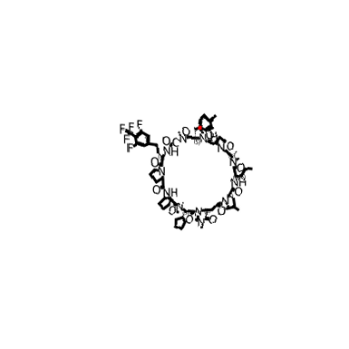 CC[C@H](C)[C@@H]1NC(=O)[C@H](CC(C)C)N(C)C(=O)C[C@@H](C(=O)N(C)C)N(C)C(=O)[C@H](C2CCCC2)N(C)C(=O)C2(CCCC2)NC(=O)C2CCCN2C(=O)[C@H](CCc2cc(F)c(C(F)(F)F)c(F)c2)NC(=O)CN(C)C(=O)[C@H](Cc2ccc(C)cc2)N(CC)C(=O)[C@@H]2CCN2C(=O)[C@H](C)N(C)C1=O